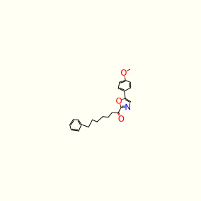 COc1ccc(-c2cnc(C(=O)CCCCCCc3ccccc3)o2)cc1